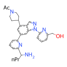 CCCC(N)c1cccc(-c2cc(C3CCN(C(C)=O)CC3)c3cnn(-c4cccc(CO)n4)c3c2)n1